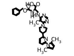 Cc1c(NCC(NC(=O)OCc2ccccc2)C(=O)O)ncnc1N1CCC(c2cccc(-n3c(C)ccc3C)n2)CC1